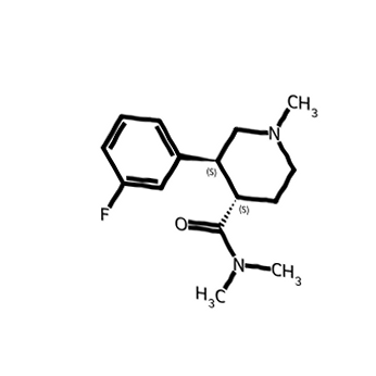 CN1CC[C@H](C(=O)N(C)C)[C@@H](c2cccc(F)c2)C1